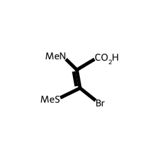 CN/C(C(=O)O)=C(/Br)SC